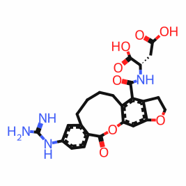 N=C(N)Nc1ccc2c(c1)CCCCc1c(cc3c(c1C(=O)N[C@@H](CC(=O)O)C(=O)O)CCO3)OC2=O